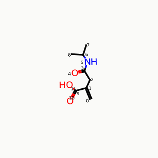 C=C(CC(=O)NC(C)C)C(=O)O